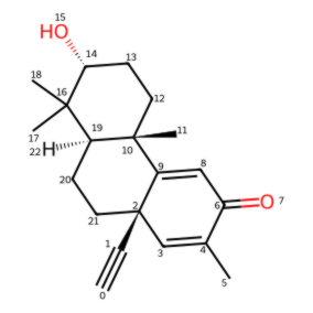 C#C[C@]12C=C(C)C(=O)C=C1[C@@]1(C)CC[C@@H](O)C(C)(C)[C@@H]1CC2